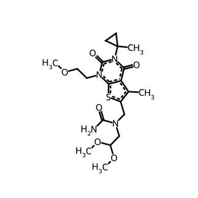 COCCn1c(=O)n(C2(C)CC2)c(=O)c2c(C)c(CN(CC(OC)OC)C(N)=O)sc21